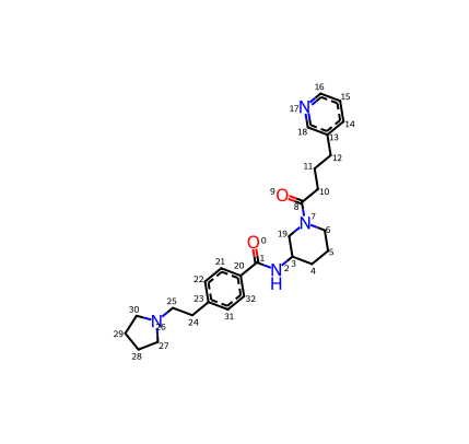 O=C(NC1CCCN(C(=O)CCCc2cccnc2)C1)c1ccc(CCN2CCCC2)cc1